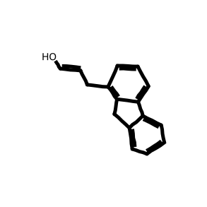 OC=CCc1cccc2c1Cc1ccccc1-2